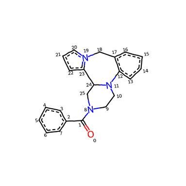 O=C(c1ccccc1)N1CCN2c3ccccc3Cn3cccc3C2C1